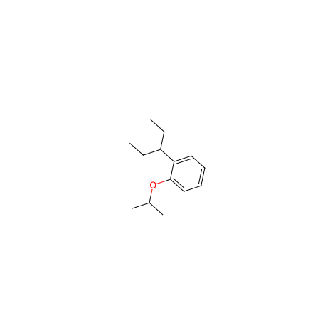 CCC(CC)c1ccccc1OC(C)C